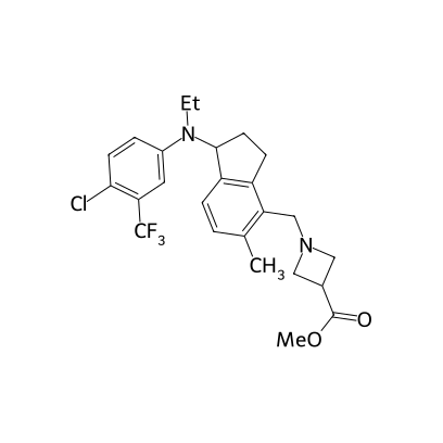 CCN(c1ccc(Cl)c(C(F)(F)F)c1)C1CCc2c1ccc(C)c2CN1CC(C(=O)OC)C1